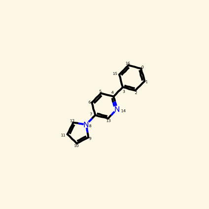 c1ccc(-c2ccc(-n3cccc3)cn2)cc1